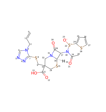 C=CCn1cnnc1SCC1(C(=O)O)CS[C@@H]2C(N(C(C)=O)[S+]([O-])c3cccs3)C(=O)N2C1